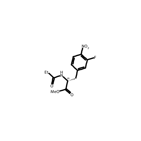 CCC(=O)N[C@H](Cc1ccc([N+](=O)[O-])c(F)c1)C(=O)OC